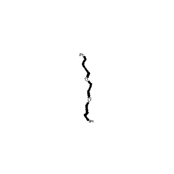 CC(C)CCCOCCOCCCC(C)C